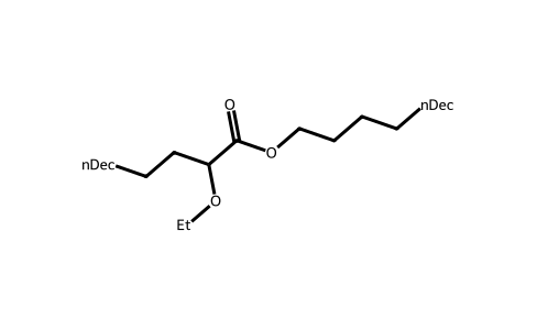 CCCCCCCCCCCCCCOC(=O)C(CCCCCCCCCCCC)OCC